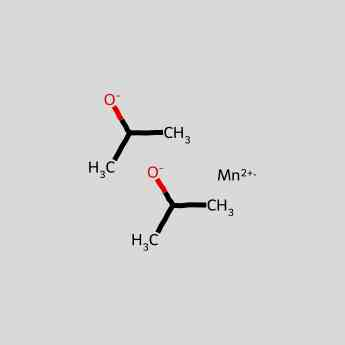 CC(C)[O-].CC(C)[O-].[Mn+2]